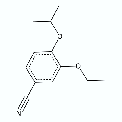 CCOc1cc(C#N)ccc1OC(C)C